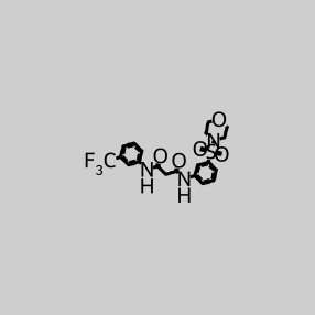 O=C(CC(=O)Nc1cccc(S(=O)(=O)N2CCOCC2)c1)Nc1cccc(C(F)(F)F)c1